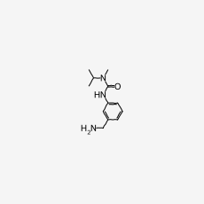 CC(C)N(C)C(=O)Nc1cccc(CN)c1